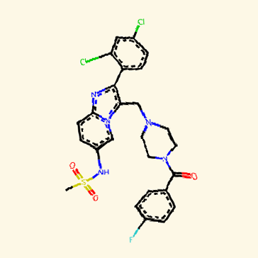 CS(=O)(=O)Nc1ccc2nc(-c3ccc(Cl)cc3Cl)c(CN3CCN(C(=O)c4ccc(F)cc4)CC3)n2c1